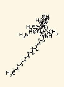 CCCCCCCCCCCCCCCCCC(=O)NC(C)COP(=O)(OCC(C)(C)O)OP(=O)(O)O.N